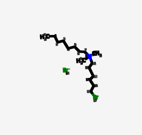 CCCCCCCC[N+](C)(C)CCCCCCBr.[Br-]